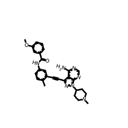 COc1cccc(C(=O)Nc2ccc(C)c(C#Cc3nn(C4CCN(C)CC4)c4ncnc(N)c34)c2)c1